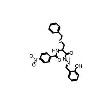 O=C(NC(CSCc1ccccc1)C(=O)NN=Cc1ccccc1O)c1ccc([N+](=O)[O-])cc1